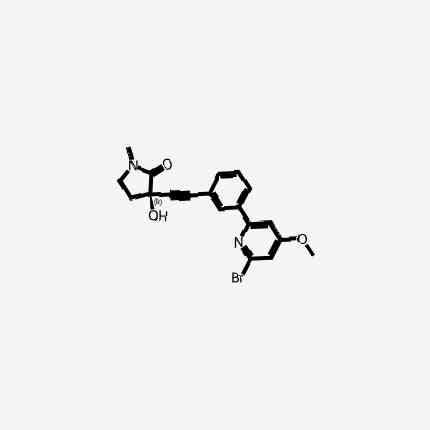 COc1cc(Br)nc(-c2cccc(C#C[C@]3(O)CCN(C)C3=O)c2)c1